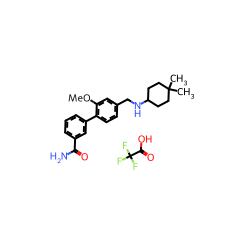 COc1cc(CNC2CCC(C)(C)CC2)ccc1-c1cccc(C(N)=O)c1.O=C(O)C(F)(F)F